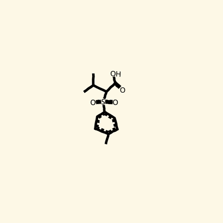 Cc1ccc(S(=O)(=O)C(C(=O)O)C(C)C)cc1